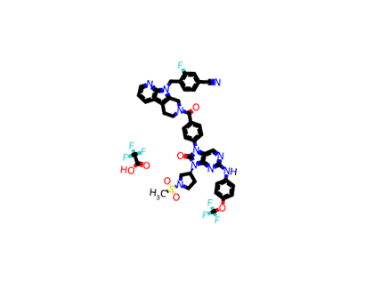 CS(=O)(=O)N1CC[C@H](n2c(=O)n(-c3ccc(C(=O)N4CCc5c(n(Cc6ccc(C#N)cc6F)c6ncccc56)C4)cc3)c3cnc(Nc4ccc(OC(F)(F)F)cc4)nc32)C1.O=C(O)C(F)(F)F